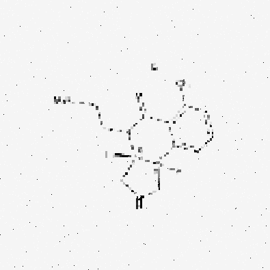 COCCN1C(=O)c2c(cccc2C(F)(F)F)[C@H]2CNC[C@@H]21.Cl